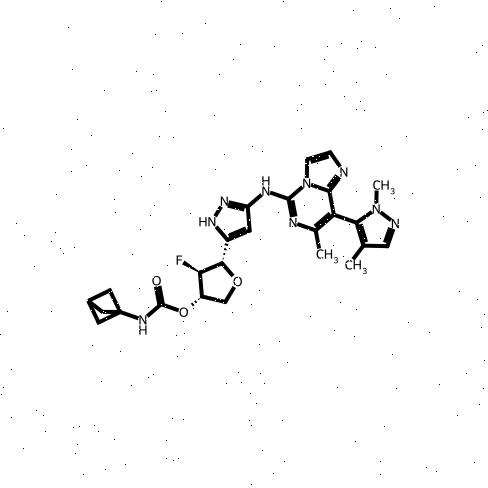 Cc1cnn(C)c1-c1c(C)nc(Nc2cc([C@@H]3OC[C@H](OC(=O)NC45CC(C4)C5)[C@H]3F)[nH]n2)n2ccnc12